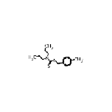 [CH2]c1ccc(CSC(=S)N(CCC)CCC)cc1